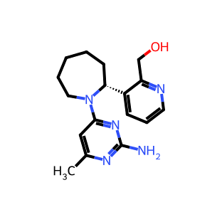 Cc1cc(N2CCCCC[C@@H]2c2cccnc2CO)nc(N)n1